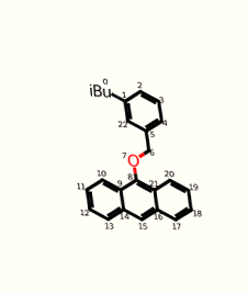 CCC(C)c1cccc(COc2c3ccccc3cc3ccccc23)c1